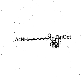 CCCCCCCCC(=O)O[C@@H](COC(=O)CCCCCCCCCCCNC(C)=O)COP(=O)(O)O